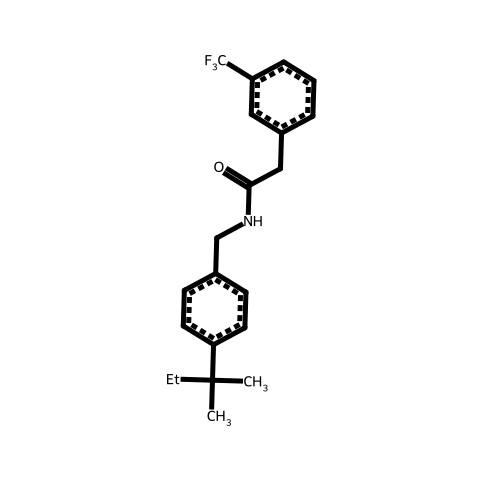 CCC(C)(C)c1ccc(CNC(=O)Cc2cccc(C(F)(F)F)c2)cc1